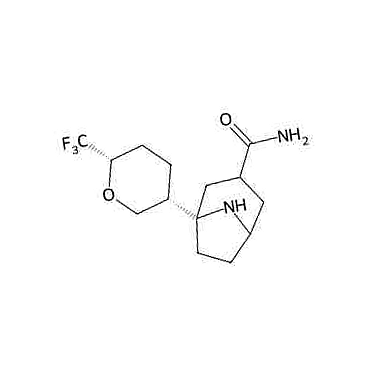 NC(=O)C1CC2CCC([C@H]3CC[C@@H](C(F)(F)F)OC3)(C1)N2